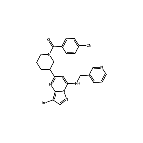 N#Cc1ccc(C(=O)N2CCCC(c3cc(NCc4cccnc4)n4ncc(Br)c4n3)C2)cc1